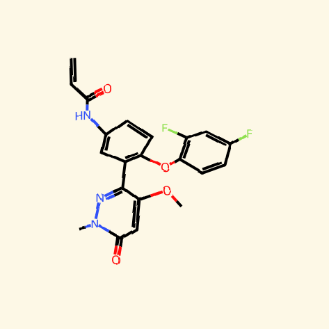 C=CC(=O)Nc1ccc(Oc2ccc(F)cc2F)c(-c2nn(C)c(=O)cc2OC)c1